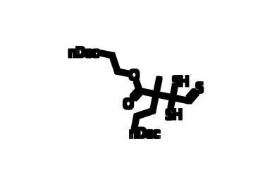 CCCCCCCCCCCCOC(=O)C(C)(CCCCCCCCCCCC)C(S)(S)C=S